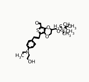 CCN(CCO)c1ccc(/C=C/c2sc(C=O)c3c2OCC(CO[Si](C)(C)C(C)(C)C)O3)cc1